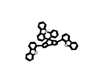 c1ccc2c(c1)-n1c3ccccc3c3cccc(c31)C21c2cc(-c3cccc4c3oc3ccccc34)ccc2-c2ccc(-c3cccc4c3oc3ccccc34)cc21